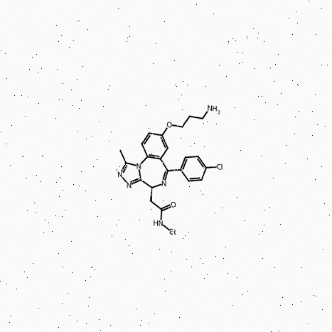 CCNC(=O)C[C@@H]1N=C(c2ccc(Cl)cc2)c2cc(OCCCN)ccc2-n2c(C)nnc21